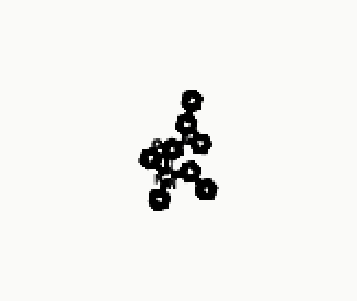 C1=CC(C2=CC3c4ccccc4N(c4ccc5c(c4)oc4cccc(C6=NC(c7ccccc7)=NC(c7cccc(-c8ccccc8)c7)N6)c45)C3C=C2)=CCC1